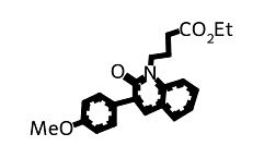 CCOC(=O)CCCn1c(=O)c(-c2ccc(OC)cc2)cc2ccccc21